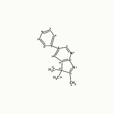 CC1=Nc2ncc(-c3ccccc3)cc2C1(C)C